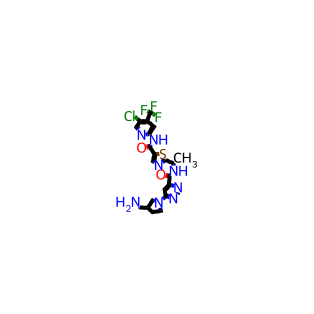 CC(NC(=O)c1cc(N2CCC(CN)C2)ncn1)c1ncc(C(=O)Nc2cc(C(F)(F)F)c(Cl)cn2)s1